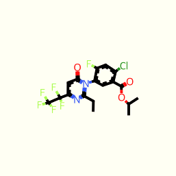 CCc1nc(C(F)(F)C(F)(F)F)cc(=O)n1-c1cc(C(=O)OC(C)C)c(Cl)cc1F